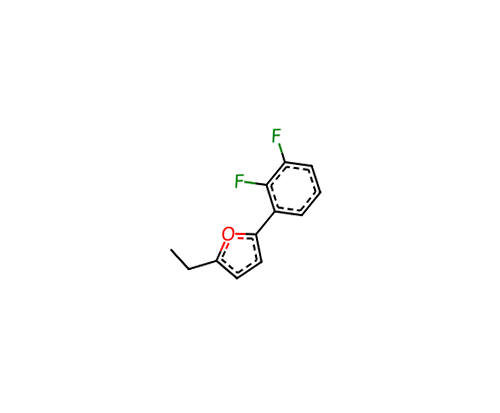 CCc1ccc(-c2cccc(F)c2F)o1